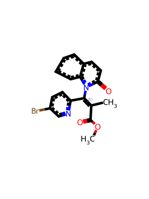 COC(=O)/C(C)=C(\c1ccc(Br)cn1)n1c(=O)ccc2ccccc21